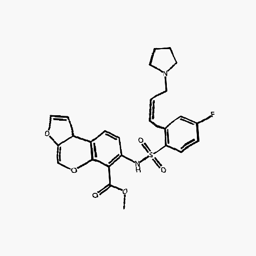 COC(=O)c1c(NS(=O)(=O)c2ccc(F)cc2/C=C\CN2CCCC2)ccc2c1OC=C1OC=CC12